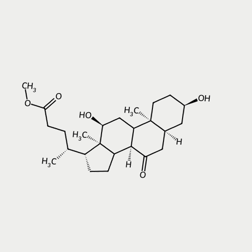 COC(=O)CC[C@@H](C)[C@H]1CCC2[C@@H]3C(=O)C[C@@H]4C[C@H](O)CC[C@]4(C)C3C[C@H](O)[C@@]21C